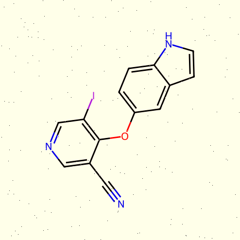 N#Cc1cncc(I)c1Oc1ccc2[nH]ccc2c1